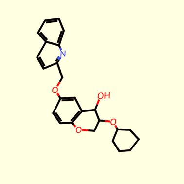 OC1c2cc(OCc3ccc4ccccc4n3)ccc2OCC1OC1CCCCC1